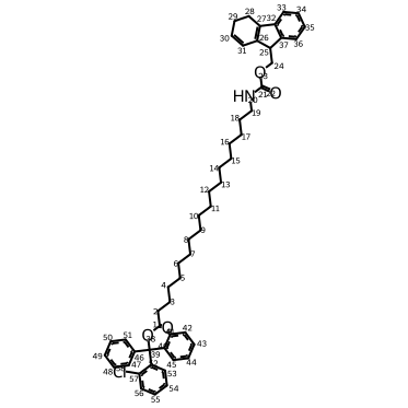 O=C(CCCCCCCCCCCCCCCCCCNC(=O)OCC1C2=C(CCC=C2)c2ccccc21)OC(c1ccccc1)(c1ccccc1)c1ccccc1Cl